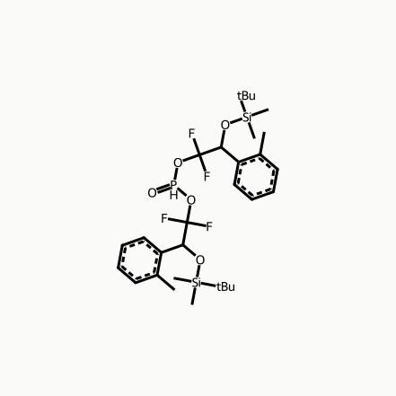 Cc1ccccc1C(O[Si](C)(C)C(C)(C)C)C(F)(F)O[PH](=O)OC(F)(F)C(O[Si](C)(C)C(C)(C)C)c1ccccc1C